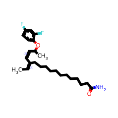 C/C=C(\C=C/C(C)Oc1ccc(F)cc1F)CCCCCCCCCCCC(N)=O